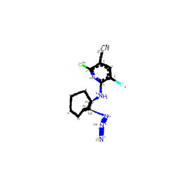 N#Cc1cc(F)c(N[C@@H]2CCCC[C@@H]2N=[N+]=[N-])nc1Cl